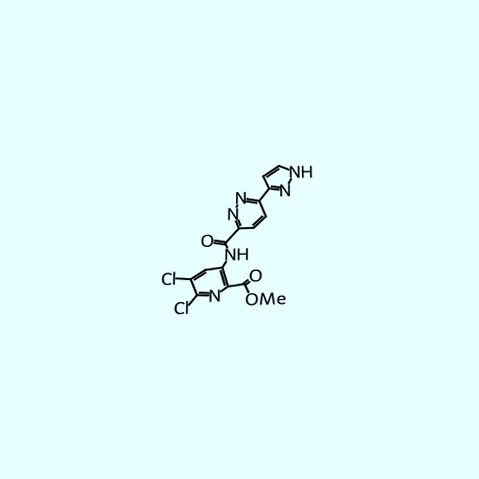 COC(=O)c1nc(Cl)c(Cl)cc1NC(=O)c1ccc(-c2cc[nH]n2)nn1